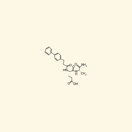 C[C@H](NC(=O)[C@H](CCC(=O)O)NC(=O)CCc1ccc(-c2ccccc2)cc1)C(N)=O